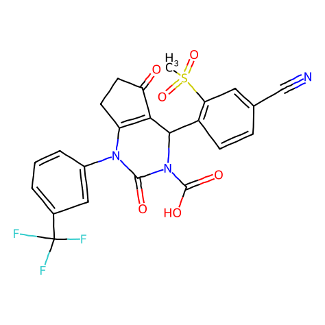 CS(=O)(=O)c1cc(C#N)ccc1C1C2=C(CCC2=O)N(c2cccc(C(F)(F)F)c2)C(=O)N1C(=O)O